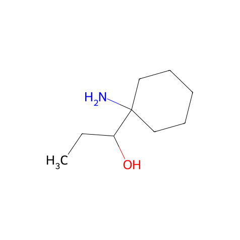 CCC(O)C1(N)CCCCC1